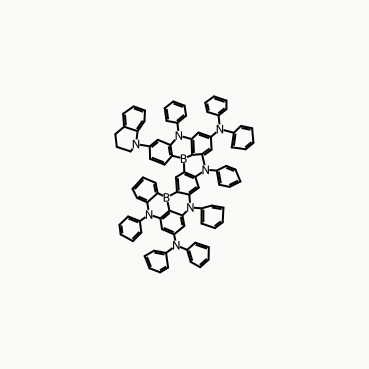 c1ccc(N(c2ccccc2)c2cc3c4c(c2)N(c2ccccc2)c2cc5c(cc2B4c2ccccc2N3c2ccccc2)B2c3ccc(N4CCCc6ccccc64)cc3N(c3ccccc3)c3cc(N(c4ccccc4)c4ccccc4)cc(c32)N5c2ccccc2)cc1